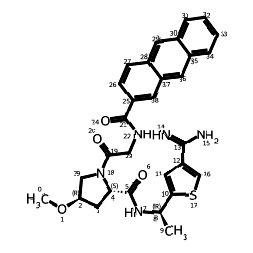 CO[C@@H]1C[C@@H](C(=O)N[C@H](C)c2cc(C(=N)N)cs2)N(C(=O)CNC(=O)c2ccc3cc4ccccc4cc3c2)C1